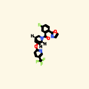 O=C(c1cc(F)ccc1-c1ncco1)N1C[C@@H]2CC[C@H]1[C@H](Oc1ccc(C(F)(F)F)cn1)C2